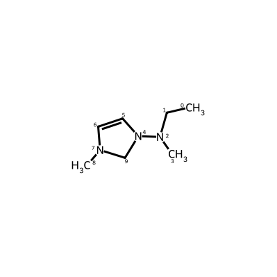 CCN(C)N1C=CN(C)C1